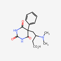 CN(C)C(CC(=O)O)CC1(c2ccccc2)C(=O)NC(=O)NC1=O